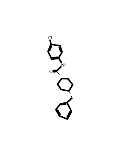 O=C(Nc1ccc(Cl)cc1)[C@H]1CC[C@@H](Cc2ccccc2)CC1